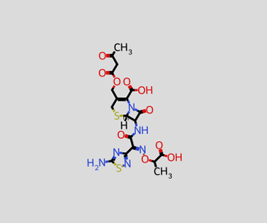 CC(=O)CC(=O)OCC1=C(C(=O)O)N2C(=O)C(NC(=O)C(=NOC(C)C(=O)O)c3nsc(N)n3)[C@@H]2SC1